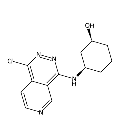 O[C@H]1CCC[C@@H](Nc2nnc(Cl)c3ccncc23)C1